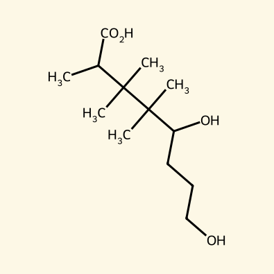 CC(C(=O)O)C(C)(C)C(C)(C)C(O)CCCO